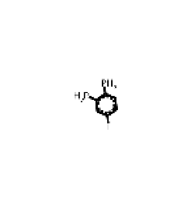 Pc1ccc(I)cc1P